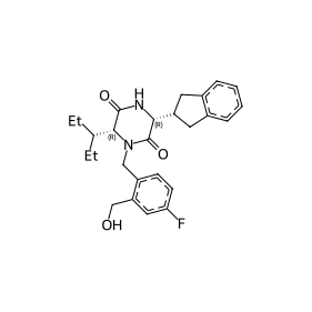 CCC(CC)[C@@H]1C(=O)N[C@H](C2Cc3ccccc3C2)C(=O)N1Cc1ccc(F)cc1CO